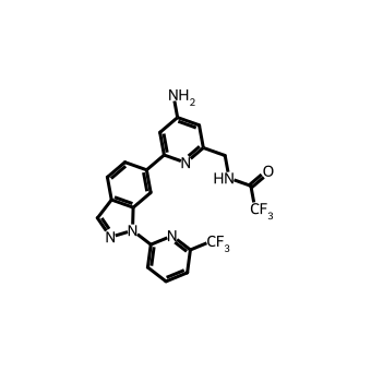 Nc1cc(CNC(=O)C(F)(F)F)nc(-c2ccc3cnn(-c4cccc(C(F)(F)F)n4)c3c2)c1